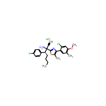 C#CC(N)(c1nc(-c2cc(C)c(OC)cc2Cl)c(C)s1)[C@@H](CCCC)c1ccc(F)cc1.Cl